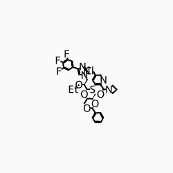 CCO[C@@H](Cn1cc(-c2cc(F)c(F)c(F)c2)nn1)C(OC1COC(c2ccccc2)O[C@@H]1C)Sc1cc(Cl)cnc1C(=O)N1CCC1